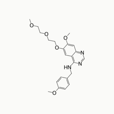 COCCOCCOc1cc2c(NCc3ccc(OC)cc3)ncnc2cc1OC